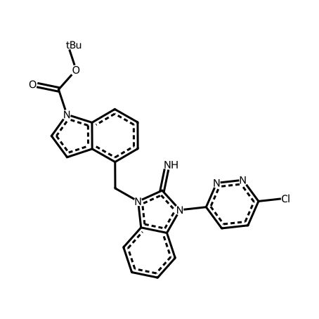 CC(C)(C)OC(=O)n1ccc2c(Cn3c(=N)n(-c4ccc(Cl)nn4)c4ccccc43)cccc21